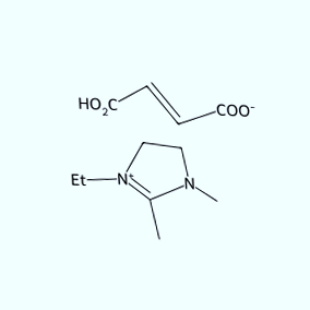 CC[N+]1=C(C)N(C)CC1.O=C([O-])C=CC(=O)O